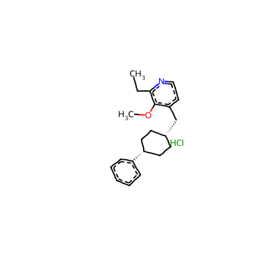 CCc1nccc(C[C@H]2CC[C@@H](c3ccccc3)CC2)c1OC.Cl